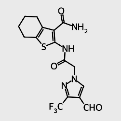 NC(=O)c1c(NC(=O)Cn2cc(C=O)c(C(F)(F)F)n2)sc2c1CCCC2